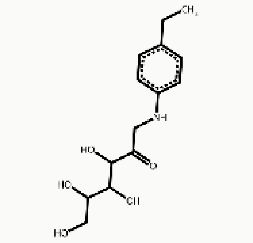 CCc1ccc(NCC(=O)C(O)C(O)C(O)CO)cc1